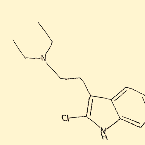 CCN(CC)CCc1c(Cl)[nH]c2ccccc12